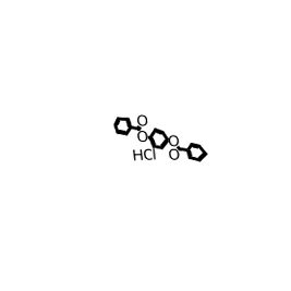 Cl.O=C(Oc1ccc(OC(=O)c2ccccc2)cc1)c1ccccc1